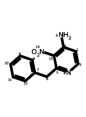 Nc1ccnc(Cc2ccccc2)c1[N+](=O)[O-]